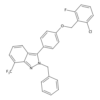 Fc1cccc(Cl)c1COc1ccc(-c2c3cccc(C(F)(F)F)c3nn2Cc2ccccc2)cc1